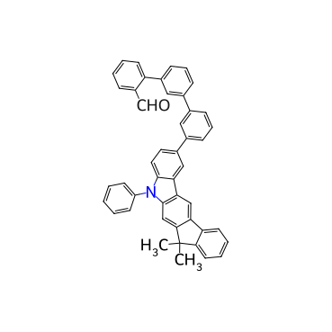 CC1(C)c2ccccc2-c2cc3c4cc(-c5cccc(-c6cccc(-c7ccccc7C=O)c6)c5)ccc4n(-c4ccccc4)c3cc21